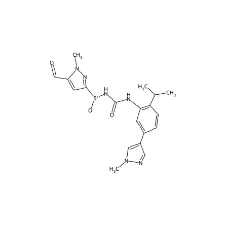 CC(C)c1ccc(-c2cnn(C)c2)cc1NC(=O)N[S+]([O-])c1cc(C=O)n(C)n1